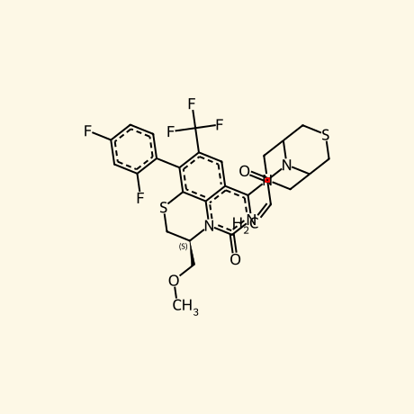 C=CC(=O)N1C2CSCC1CN(c1nc(=O)n3c4c(c(-c5ccc(F)cc5F)c(C(F)(F)F)cc14)SC[C@@H]3COC)C2